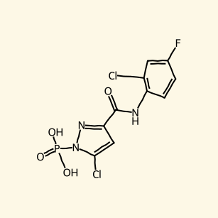 O=C(Nc1ccc(F)cc1Cl)c1cc(Cl)n(P(=O)(O)O)n1